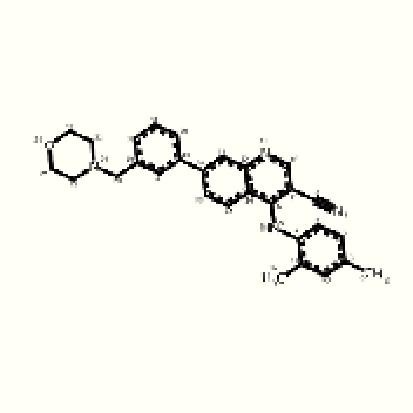 Cc1ccc(Nc2c(C#N)cnc3cc(-c4cccc(CN5CCOCC5)c4)ccc23)c(C)c1